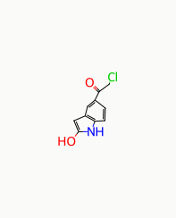 O=C(CCl)c1ccc2[nH]c(O)cc2c1